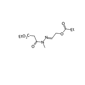 CCOC(=O)CC(=O)N(C)N=CCOC(=O)CC